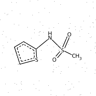 CS(=O)(=O)Nc1cc[c]s1